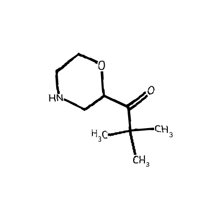 CC(C)(C)C(=O)C1CNCCO1